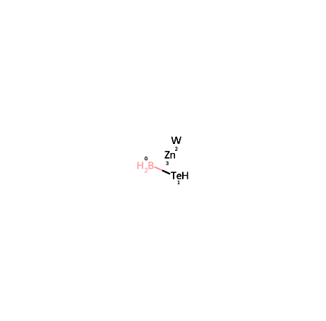 B[TeH].[W].[Zn]